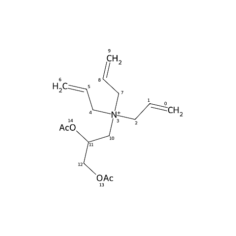 C=CC[N+](CC=C)(CC=C)CC(COC(C)=O)OC(C)=O